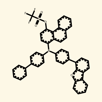 O=S(=O)(Oc1ccc(N(c2ccc(-c3ccccc3)cc2)c2ccc(-c3cccc4c3oc3ccccc34)cc2)c2ccc3ccccc3c12)C(F)(F)F